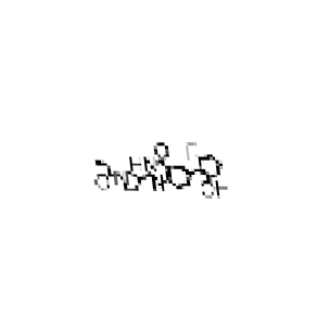 C=CC(=O)N1CCC(c2nc3ccc(-c4c(O)cccc4F)cc3c(=O)[nH]2)C1